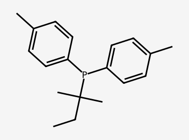 CCC(C)(C)P(c1ccc(C)cc1)c1ccc(C)cc1